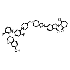 O=C1c2ccc(N3CC4(CCN(CC5CCN(c6ccc([C@@H]7c8ccc(O)cc8OC[C@@H]7c7c(F)cccc7F)cc6F)CC5)CC4)C3)cc2CN1N1C(=O)CCCC1=O